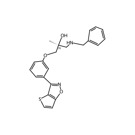 C[C@](O)(CNCc1ccccc1)COc1cccc(-c2noc3ccsc23)c1